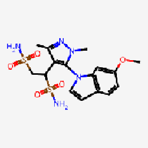 COc1ccc2ccn(-c3c(C(CS(N)(=O)=O)S(N)(=O)=O)c(C)nn3C)c2c1